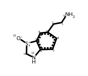 NCCc1ccc2c(c1)[S+]([O-])CN2